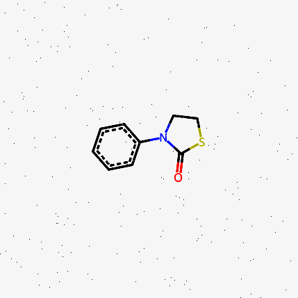 O=C1SCCN1c1ccccc1